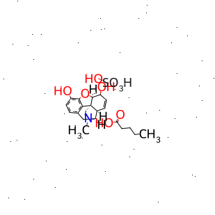 CCCCC(=O)O.CN1CC[C@]23c4c5ccc(O)c4O[C@H]2[C@@H](O)C=C[C@H]3[C@H]1C5.O=S(=O)(O)O